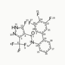 CN(C(=O)c1c(C(F)(F)F)n[nH]c1F)c1ccccc1-c1cc(F)c(F)c(F)c1